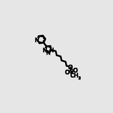 CS(=O)(=O)OCCCCCCn1cc(-c2cccnc2)nn1